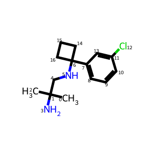 CC(C)(N)CNC1(c2cccc(Cl)c2)CCC1